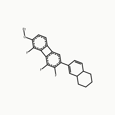 CCOc1ccc2c(c1F)-c1c-2cc(C2=CC3CCCCC3C=C2)c(F)c1F